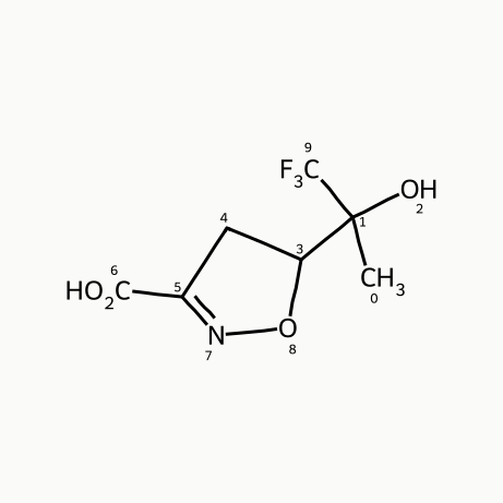 CC(O)(C1CC(C(=O)O)=NO1)C(F)(F)F